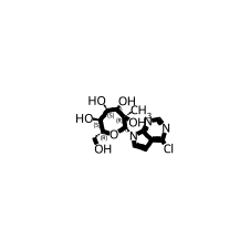 C[C@@]1(O)[C@H](O)[C@@H](O)[C@H](O)[C@@H](CO)O[C@H]1n1ccc2c(Cl)ncnc21